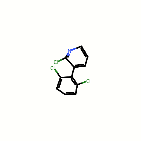 Clc1[c]ccc(Cl)c1-c1cccnc1Cl